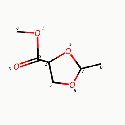 COC(=O)C1CO[C](C)O1